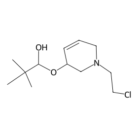 CC(C)(C)C(O)OC1C=CCN(CCCl)C1